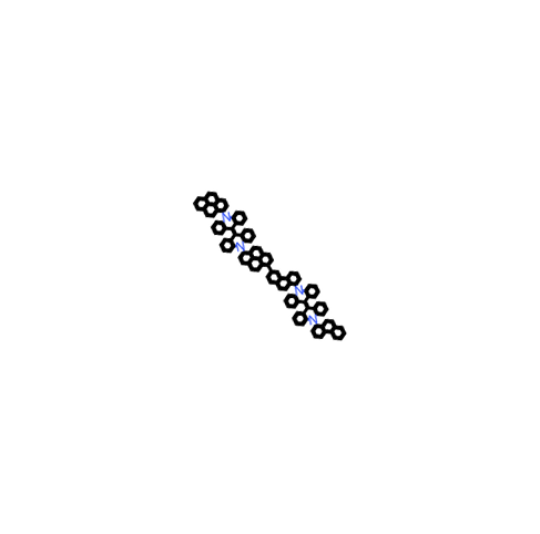 c1ccc2c(c1)C(=C1c3ccccc3N(c3cccc4c3ccc3ccc(-c5ccc6ccc7c(N8c9ccccc9C(=C9c%10ccccc%10N(c%10ccc%11ccc%12cccc%13ccc%10c%11c%12%13)c%10ccccc%109)c9ccccc98)ccc8ccc5c6c87)cc34)c3ccccc31)c1ccccc1N2c1cccc2c1ccc1ccccc12